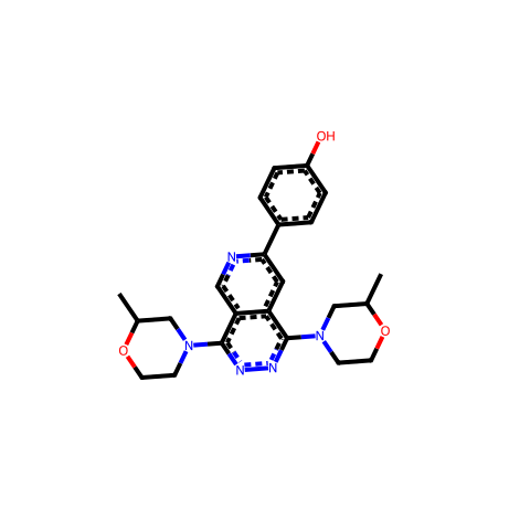 CC1CN(c2nnc(N3CCOC(C)C3)c3cc(-c4ccc(O)cc4)ncc23)CCO1